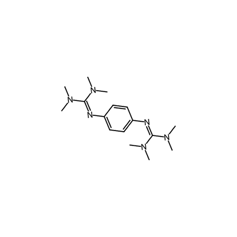 CN(C)C(=Nc1ccc(N=C(N(C)C)N(C)C)cc1)N(C)C